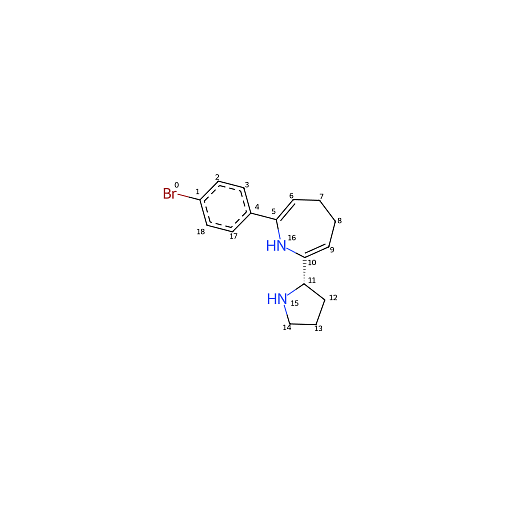 Brc1ccc(C2=CCCC=C([C@@H]3CCCN3)N2)cc1